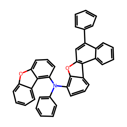 c1ccc(-c2cc3oc4c(N(c5ccccc5)c5cccc6oc7ccccc7c56)cccc4c3c3ccccc23)cc1